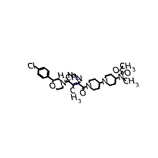 C=C(/C(C)=C(\N=C/N)C(=O)N1CCC(N2CCC(N(C)S(C)(=O)=O)CC2)CC1)N1CCOC(c2ccc(Cl)cc2)C1